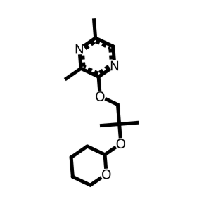 Cc1cnc(OCC(C)(C)OC2CCCCO2)c(C)n1